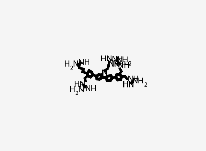 N=C(N)CCCc1ccc(-c2ccc3c4ccc(-c5ccc(CCNC(=N)N)c(CCNC(=N)N)c5)cc4n(CCCNC(=N)N)c3c2)cc1CCNC(=N)N